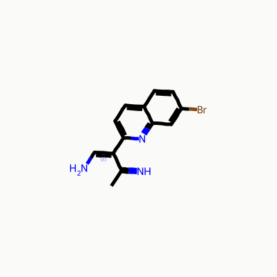 CC(=N)/C(=C\N)c1ccc2ccc(Br)cc2n1